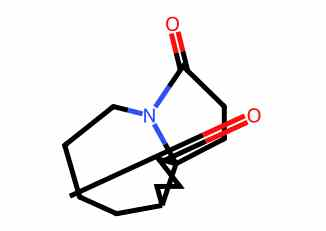 O=C1CCC23C(=O)CCC2CCCCN13